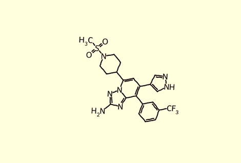 CS(=O)(=O)N1CCC(c2cc(-c3cn[nH]c3)c(-c3cccc(C(F)(F)F)c3)c3nc(N)nn23)CC1